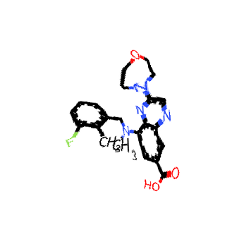 Cc1c(F)cccc1CN(C)c1cc(C(=O)O)cc2ncc(N3CCOCC3)nc12